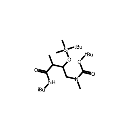 CCC(C)NC(=O)C(C)C(CN(C)C(=O)OC(C)(C)C)O[Si](C)(C)C(C)(C)C